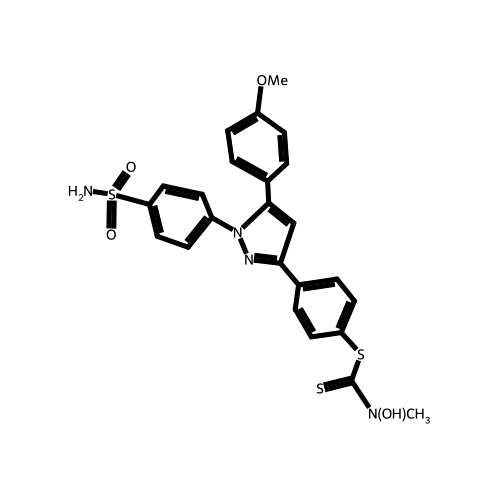 COc1ccc(-c2cc(-c3ccc(SC(=S)N(C)O)cc3)nn2-c2ccc(S(N)(=O)=O)cc2)cc1